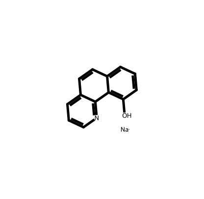 Oc1cccc2ccc3cccnc3c12.[Na]